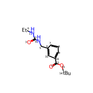 CCNC(=O)NCc1cccc(C(=O)OC(C)(C)C)c1